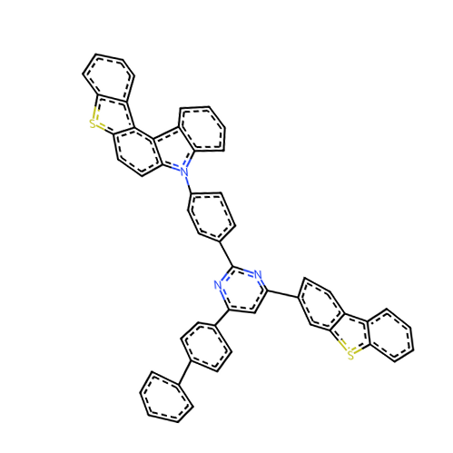 c1ccc(-c2ccc(-c3cc(-c4ccc5c(c4)sc4ccccc45)nc(-c4ccc(-n5c6ccccc6c6c7c(ccc65)sc5ccccc57)cc4)n3)cc2)cc1